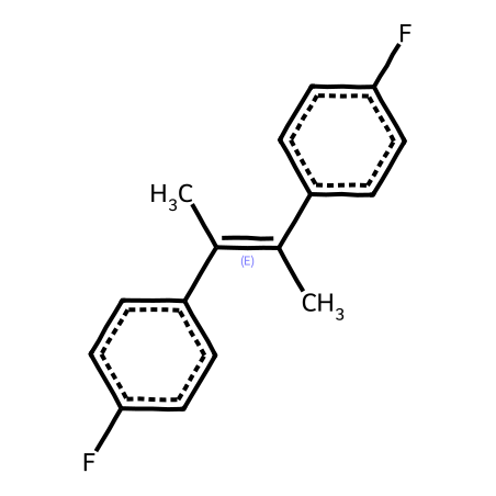 C/C(=C(/C)c1ccc(F)cc1)c1ccc(F)cc1